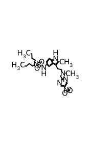 CCCCN(CCCC)S(=O)(=O)Nc1ccc2[nH]c(C)c(CCN(C)Cc3ncc([N+](=O)[O-])cn3)c2c1